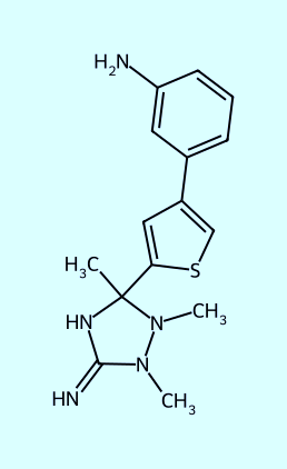 CN1C(=N)NC(C)(c2cc(-c3cccc(N)c3)cs2)N1C